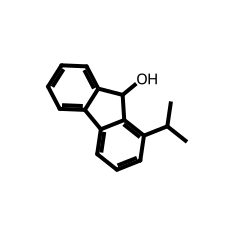 CC(C)c1cccc2c1C(O)c1ccccc1-2